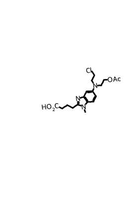 CC(=O)OCCN(CCCl)c1ccc2c(c1)nc(CCCC(=O)O)n2C